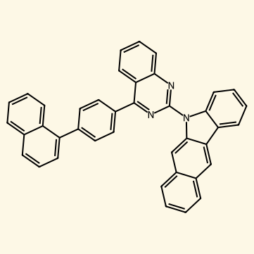 c1ccc2cc3c(cc2c1)c1ccccc1n3-c1nc(-c2ccc(-c3cccc4ccccc34)cc2)c2ccccc2n1